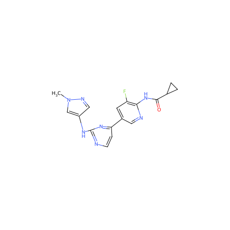 Cn1cc(Nc2nccc(-c3cnc(NC(=O)C4CC4)c(F)c3)n2)cn1